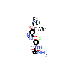 CCN(CC)CCOc1cc2ncnc(Oc3ccc(NC(=O)C4(C(N)=O)CCC4)cc3F)c2cc1OC